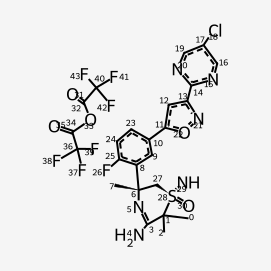 CC1(C)C(N)=N[C@](C)(c2cc(-c3cc(-c4ncc(Cl)cn4)no3)ccc2F)C[S@@]1(=N)=O.O=C(OC(=O)C(F)(F)F)C(F)(F)F